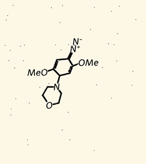 COC1=CC(N2CCOCC2)C(OC)=CC1=[N+]=[N-]